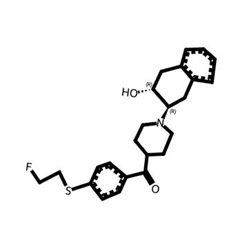 O=C(c1ccc(SCCF)cc1)C1CCN([C@@H]2Cc3ccccc3C[C@H]2O)CC1